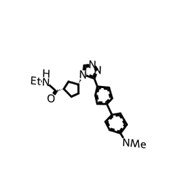 CCNC(=O)[C@H]1CC[C@@H](n2cnnc2-c2ccc(-c3ccc(NC)cc3)cc2)C1